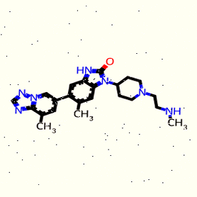 CNCCN1CCC(n2c(=O)[nH]c3cc(-c4cc(C)c5ncnn5c4)c(C)cc32)CC1